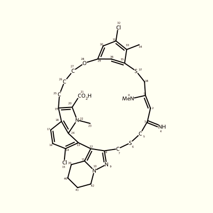 CN/C1=C\C(=N)CSCc2nn3c(c2-c2c(Cl)ccc4c(c(C(=O)O)n(C)c24)CCCOc2cc(Cl)c(C)c(c2)SC1)CCCC3